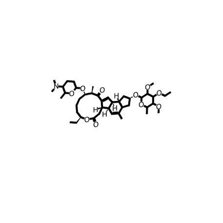 CCOC1C(OC)C(C)OC(O[C@@H]2CC3C(C)=C[C@@H]4[C@@H](C=C5C(=O)[C@H](C)[C@@H](OC6CCC(N(C)C)C(C)O6)CCC[C@H](CC)OC(=O)C[C@H]54)[C@@H]3C2)C1OC